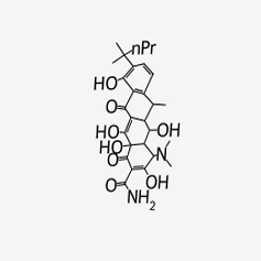 CCCC(C)(C)c1ccc2c(c1O)C(=O)C1=C(O)C3(O)C(=O)C(C(N)=O)=C(O)C(N(C)C)C3C(O)C1C2C